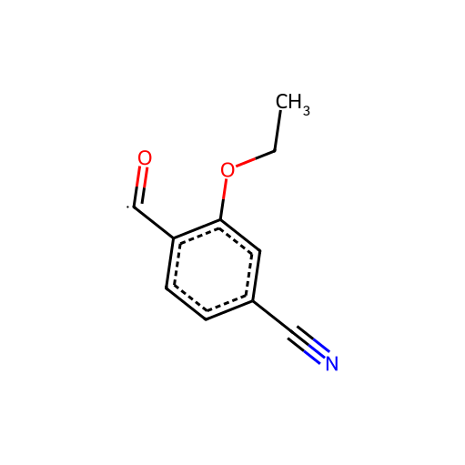 CCOc1cc(C#N)ccc1[C]=O